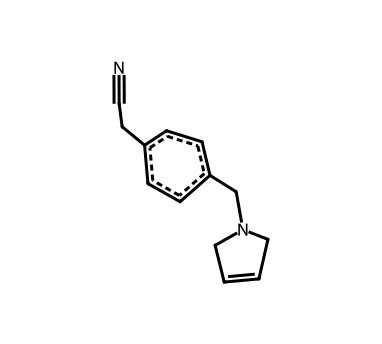 N#CCc1ccc(CN2CC=CC2)cc1